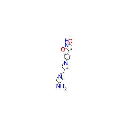 NC1CCN(CCC2CCN(c3ccc(C4CCC(=O)NC4=O)cc3)CC2)CC1